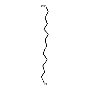 CCCCCCCCCCCCCCCCCCCCCC(C)CC